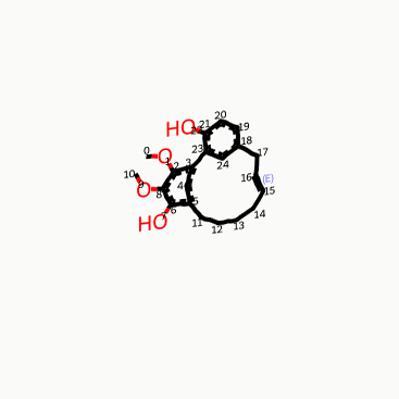 COc1c2cc(c(O)c1OC)CCCC/C=C/Cc1ccc(O)c-2c1